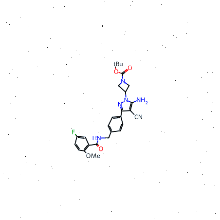 COc1ccc(F)cc1C(=O)NCc1ccc(-c2nn(C3CN(C(=O)OC(C)(C)C)C3)c(N)c2C#N)cc1